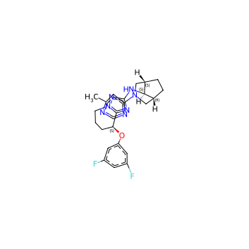 Cc1cc(N2C[C@H]3CC[C@@H](C2)[C@@H]3Nc2nc3n(n2)CCC[C@@H]3Oc2cc(F)cc(F)c2)ncn1